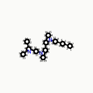 c1ccc(-c2ccc(-c3ccc(-n4c5ccccc5c5ccc(-c6ccc7c8ccccc8n(-c8ccc(-c9cc(-c%10ccccc%10)cc(-c%10ccccc%10)n9)cc8)c7c6)cc54)cc3)cc2)cc1